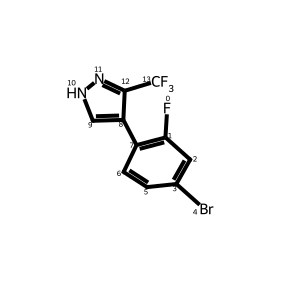 Fc1cc(Br)ccc1-c1c[nH]nc1C(F)(F)F